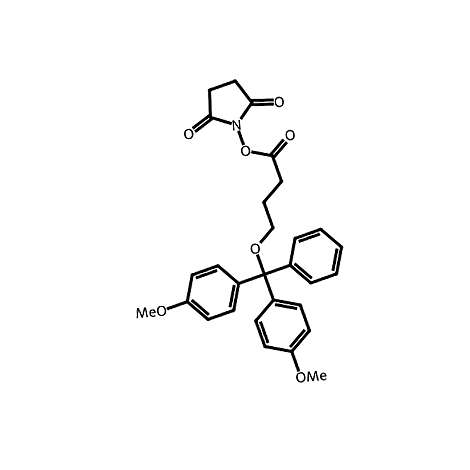 COc1ccc(C(OCCCC(=O)ON2C(=O)CCC2=O)(c2ccccc2)c2ccc(OC)cc2)cc1